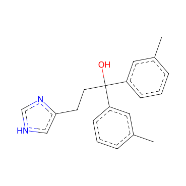 Cc1cccc(C(O)(CCc2c[nH]cn2)c2cccc(C)c2)c1